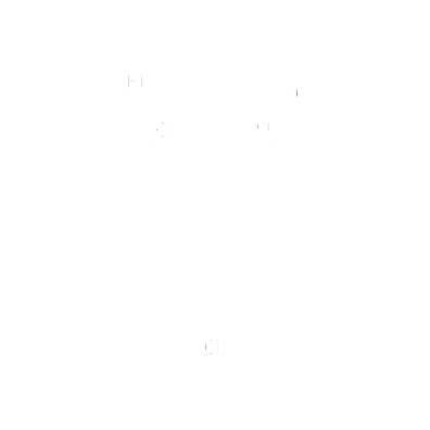 [CH2]C(OCC)(OCC)c1ccc(Cl)cc1